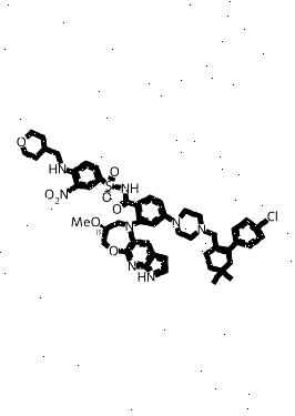 CO[C@@H]1COc2nc3[nH]ccc3cc2N(c2cc(N3CCN(CC4=C(c5ccc(Cl)cc5)CC(C)(C)CC4)CC3)ccc2C(=O)NS(=O)(=O)c2ccc(NCC3CCOCC3)c([N+](=O)[O-])c2)C1